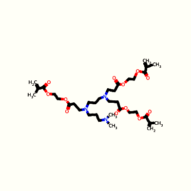 C=C(C)C(=O)OCCOC(=O)CCN(CCCN(C)C)CCCN(CCC(=O)OCCOC(=O)C(=C)C)CCC(=O)OCCOC(=O)C(=C)C